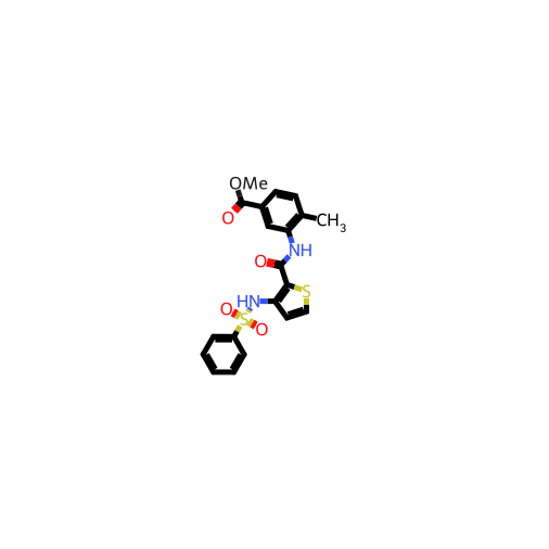 COC(=O)c1ccc(C)c(NC(=O)c2sccc2NS(=O)(=O)c2ccccc2)c1